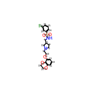 O=S(=O)(NCC1CCN(CCOc2cccc3c2OCCO3)C1)c1cccc(F)c1